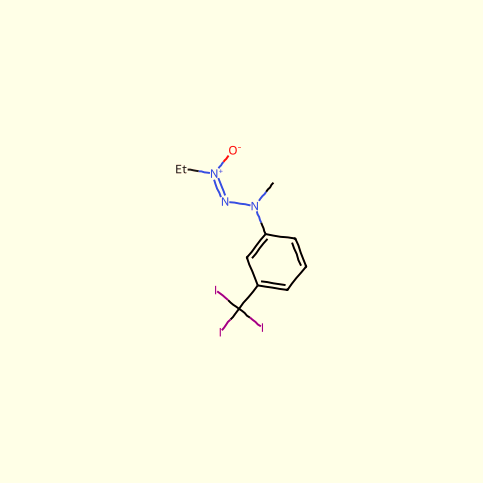 CC[N+]([O-])=NN(C)c1cccc(C(I)(I)I)c1